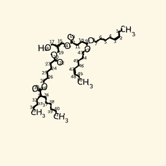 CC/C=C\CCCCOC(CCC(=O)OCC(CO)COC(=O)CCCCCOC(=O)C(CCCC)CCCCCC)OCCCC/C=C\CC